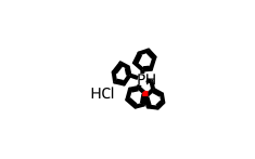 Cl.c1ccc(C[PH](c2ccccc2)(c2ccccc2)c2ccccc2)cc1